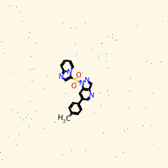 Cc1ccc(-c2cnc3cnn(S(=O)(=O)c4cnc5ccccn45)c3c2)cc1